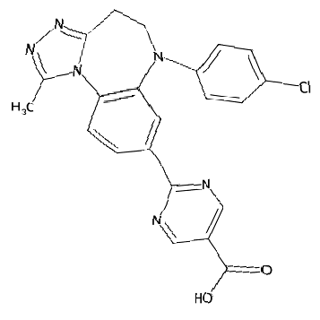 Cc1nnc2n1-c1ccc(-c3ncc(C(=O)O)cn3)cc1N(c1ccc(Cl)cc1)CC2